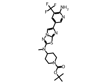 CN(c1nn2cc(-c3cnc(N)c(C(F)(F)F)c3)nc2s1)C1CCN(C(=O)OC(C)(C)C)CC1